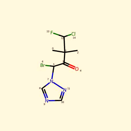 CC(C)(C(=O)C(Br)n1cncn1)C(F)Cl